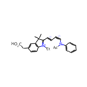 CC[N+]1=C(/C=C/C=C\N(C(C)=O)c2ccccc2)C(C)(C)c2cc(CC(=O)O)ccc21